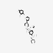 O=C(Nc1ccc2c(c1)nc(CN1CCC(c3cccc(OCc4ccc(Cl)cc4F)n3)CC1)n2C[C@@H]1CCO1)C1CCOCC1